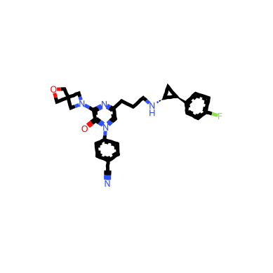 N#Cc1ccc(-n2cc(CCCN[C@@H]3C[C@H]3c3ccc(F)cc3)nc(N3CC4(COC4)C3)c2=O)cc1